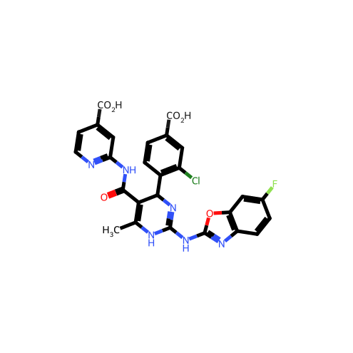 CC1=C(C(=O)Nc2cc(C(=O)O)ccn2)C(c2ccc(C(=O)O)cc2Cl)N=C(Nc2nc3ccc(F)cc3o2)N1